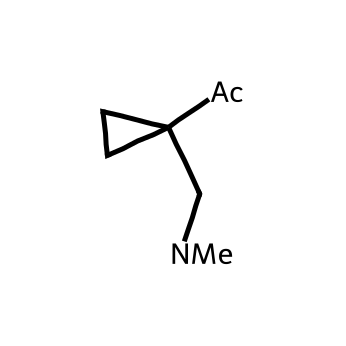 CNCC1(C(C)=O)CC1